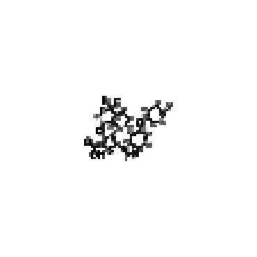 C[C@@H](Oc1cc(-n2cnc3ccc(OC4CCN(C)CC4)cc32)sc1C(=O)O)c1ccccc1C(F)(F)F